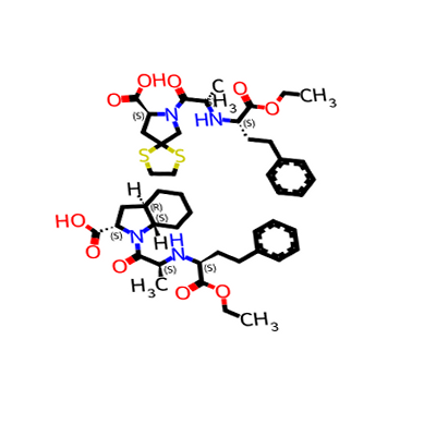 CCOC(=O)[C@H](CCc1ccccc1)N[C@@H](C)C(=O)N1CC2(C[C@H]1C(=O)O)SCCS2.CCOC(=O)[C@H](CCc1ccccc1)N[C@@H](C)C(=O)N1[C@H](C(=O)O)C[C@H]2CCCC[C@@H]21